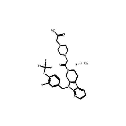 Cl.Cl.O=C(O)CN1CCN(CC(=O)N2CCc3c(n(Cc4ccc(OC(F)(F)F)c(Cl)c4)c4ncccc34)C2)CC1